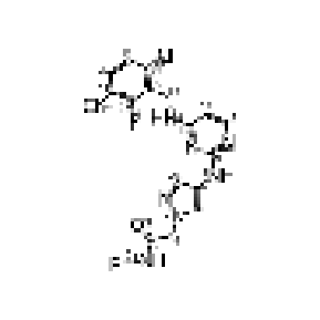 CC(C)NC(=O)Cn1cc(Nc2nccc(NCc3c(Cl)ccc(Cl)c3F)n2)cn1